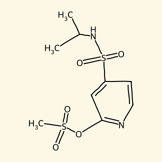 CC(C)NS(=O)(=O)c1ccnc(OS(C)(=O)=O)c1